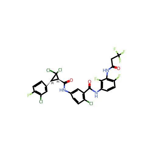 O=C(CC(F)(F)F)Nc1c(F)ccc(NC(=O)c2cc(NC(=O)[C@H]3[C@H](c4ccc(F)c(Cl)c4)C3(Cl)Cl)ccc2Cl)c1F